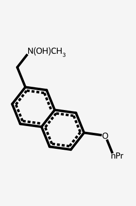 CCCOc1ccc2ccc(CN(C)O)cc2c1